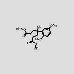 CCCOC(=O)CCC(C#N)(CCC(=O)OCCC)c1cc(OC)ccc1OC